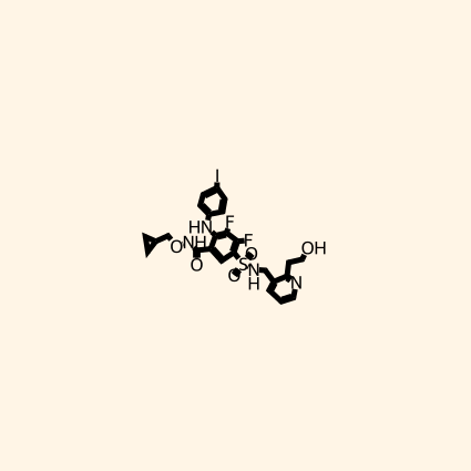 O=C(NOCC1CC1)c1cc(S(=O)(=O)NCc2cccnc2CCO)c(F)c(F)c1Nc1ccc(I)cc1